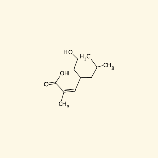 CC(=CC(CCO)CC(C)C)C(=O)O